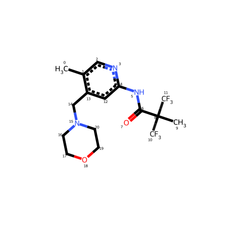 Cc1cnc(NC(=O)C(C)(C(F)(F)F)C(F)(F)F)cc1CN1CCOCC1